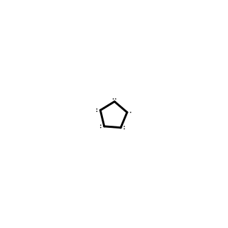 [C]1[C][C][CH][C]1